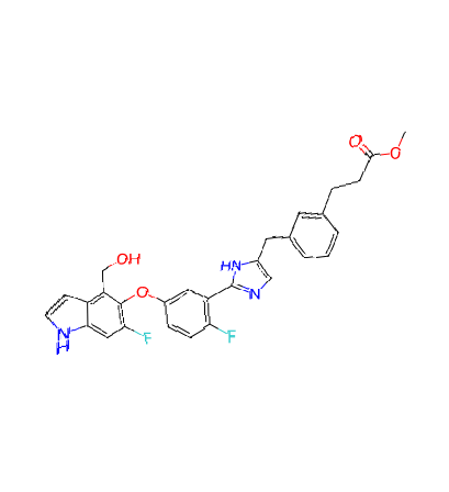 COC(=O)CCc1cccc(Cc2cnc(-c3cc(Oc4c(F)cc5[nH]ccc5c4CO)ccc3F)[nH]2)c1